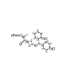 CCCCCN(C)C(=O)N1CC(OC(c2ccc(Cl)cc2)c2ccccc2Cl)C1